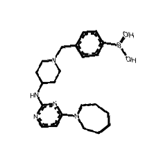 OB(O)c1ccc(CN2CCC(Nc3nccc(N4CCCCCC4)n3)CC2)cc1